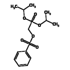 CC(C)OP(=O)(COS(=O)(=O)c1ccccc1)OC(C)C